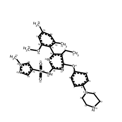 CCc1c(Oc2ccc(N3CCNCC3)cc2)nc(NS(=O)(=O)c2cnn(C)c2)nc1-c1c(C)cc(C)cc1OC